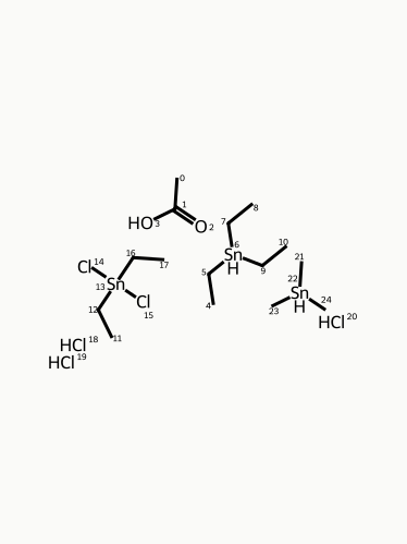 CC(=O)O.C[CH2][SnH]([CH2]C)[CH2]C.C[CH2][Sn]([Cl])([Cl])[CH2]C.Cl.Cl.Cl.[CH3][SnH]([CH3])[CH3]